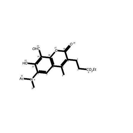 CCOC(=O)CCc1c(C)c2cc(N(C)C(C)=O)c(O)c(C=O)c2oc1=O